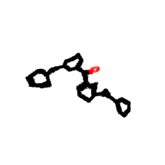 O=C(c1cccc(C#Cc2ccccc2)c1)c1cccc(C#Cc2ccccc2)c1